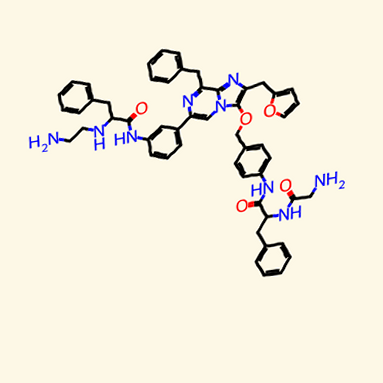 NCCNC(Cc1ccccc1)C(=O)Nc1cccc(-c2cn3c(OCc4ccc(NC(=O)C(Cc5ccccc5)NC(=O)CN)cc4)c(Cc4ccco4)nc3c(Cc3ccccc3)n2)c1